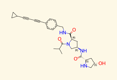 CC(C)C(=O)N1C[C@H](NC(=O)[C@@H]2C[C@H](O)CN2)C[C@@H]1C(=O)NCc1ccc(C#CC#CC2CC2)cc1